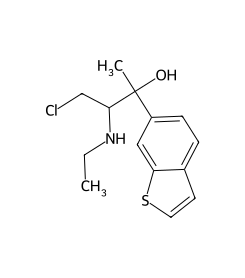 CCNC(CCl)C(C)(O)c1ccc2ccsc2c1